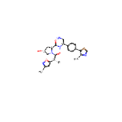 Cc1cc([C@H](C(=O)N2C[C@H](O)C[C@H]2C(=O)N[C@@H](CN)c2ccc(-c3scnc3C)cc2)C(C)C)on1